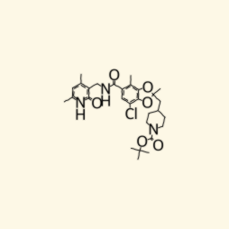 Cc1cc(C)c(CNC(=O)c2cc(Cl)c3c(c2C)OC(C)(CC2CCN(C(=O)OC(C)(C)C)CC2)O3)c(=O)[nH]1